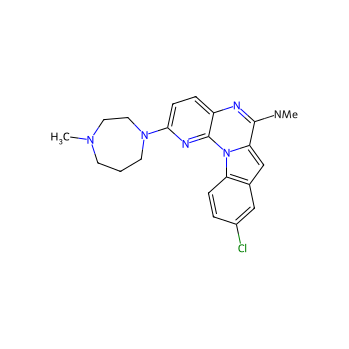 CNc1nc2ccc(N3CCCN(C)CC3)nc2n2c1cc1cc(Cl)ccc12